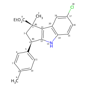 CCOC(=O)[C@]1(C)C[C@H](c2ccc(C)cc2)c2[nH]c3ccc(Cl)cc3c21